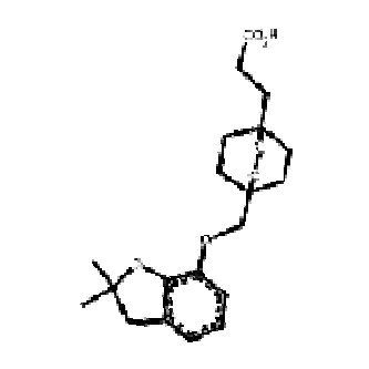 CC1(C)Cc2cccc(OCC34CCC(CCC(=O)O)(CC3)CC4)c2O1